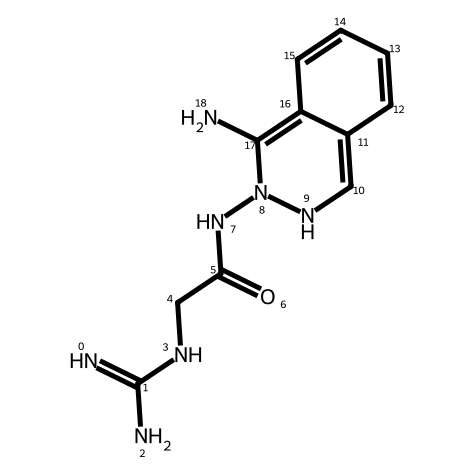 N=C(N)NCC(=O)NN1NC=c2ccccc2=C1N